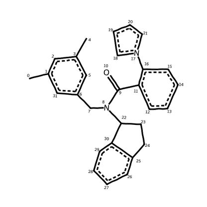 Cc1cc(C)cc(CN(C(=O)c2ccccc2-n2cccc2)C2CCc3ccccc32)c1